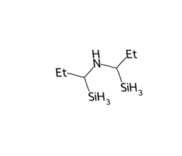 CCC([SiH3])NC([SiH3])CC